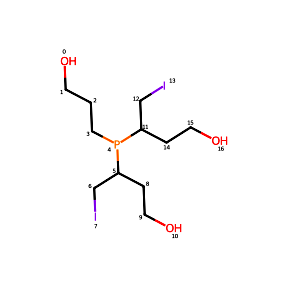 OCCCP(C(CI)CCO)C(CI)CCO